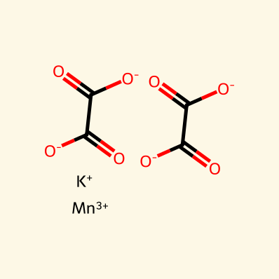 O=C([O-])C(=O)[O-].O=C([O-])C(=O)[O-].[K+].[Mn+3]